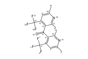 Cc1cc(C(F)(F)F)c(C(=O)c2c(C(F)(F)F)cc(C)nc2C)c(C)n1